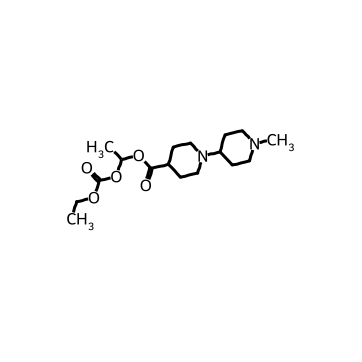 CCOC(=O)OC(C)OC(=O)C1CCN(C2CCN(C)CC2)CC1